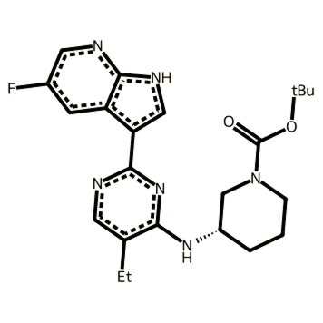 CCc1cnc(-c2c[nH]c3ncc(F)cc23)nc1N[C@H]1CCCN(C(=O)OC(C)(C)C)C1